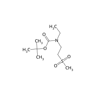 CCN(CCS(C)(=O)=O)C(=O)OC(C)(C)C